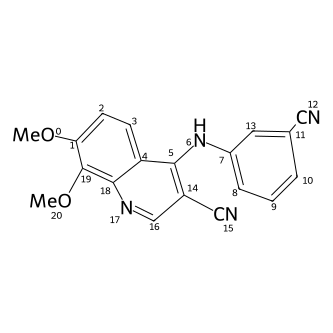 COc1ccc2c(Nc3cccc(C#N)c3)c(C#N)cnc2c1OC